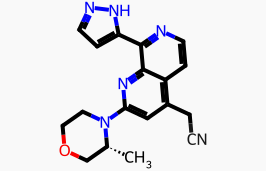 C[C@@H]1COCCN1c1cc(CC#N)c2ccnc(-c3ccn[nH]3)c2n1